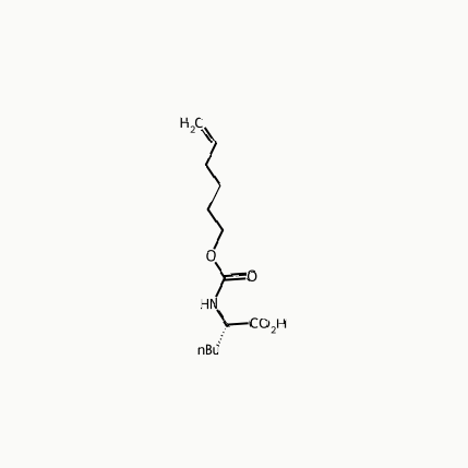 C=CCCCCOC(=O)N[C@@H](CCCC)C(=O)O